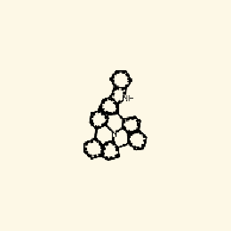 c1ccc(-c2ccccc2N(c2ccccc2-c2ccccc2)c2ccccc2-c2cccc3c2[nH]c2ccccc23)cc1